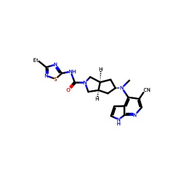 CCc1nsc(NC(=O)N2C[C@H]3C[C@H](N(C)c4c(C#N)cnc5[nH]ccc45)C[C@H]3C2)n1